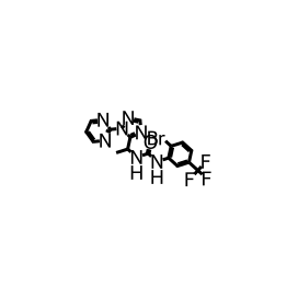 CC(NC(=O)Nc1cc(C(F)(F)F)ccc1Br)c1ncnn1-c1ncccn1